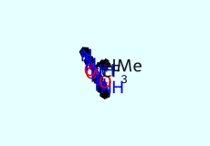 CNc1c(C)cc(C[C@@H](NC(=O)N2CCC(N3CCc4ccccc4NC3=O)CC2)C(=O)N2CCC(N3CCCCC3)CC2)cc1C(F)(F)F